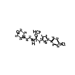 Cl.O=C(Cc1ccc(-c2ccc(Cl)cc2)s1)NCCN1CCOCC1